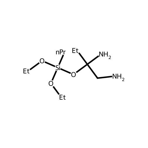 CCC[Si](OCC)(OCC)OC(N)(CC)CN